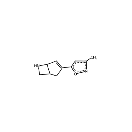 Cc1cc(C2=CC3NCC3C2)on1